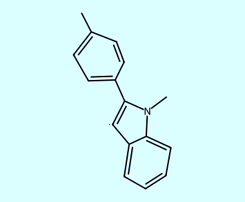 Cc1ccc(-c2[c]c3ccccc3n2C)cc1